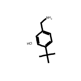 CC(C)(C)c1ccc(CN)cc1.Cl